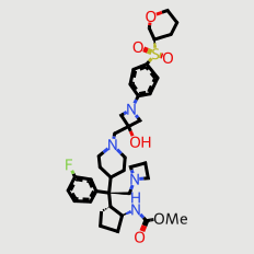 COC(=O)N[C@H]1CCC[C@@H]1[C@](CN1CCC1)(c1cccc(F)c1)C1CCN(CC2(O)CN(c3ccc(S(=O)(=O)[C@@H]4CCCOC4)cc3)C2)CC1